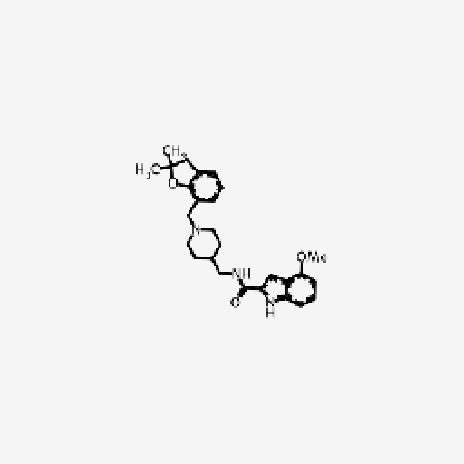 COc1cccc2[nH]c(C(=O)NCC3CCN(Cc4cccc5c4OC(C)(C)C5)CC3)cc12